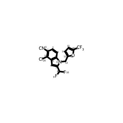 [C-]#[N+]c1ccc2c(cc(C(F)F)n2Cc2ccc(C(F)(F)F)o2)c1Cl